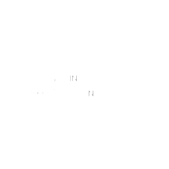 C[C@H](Nc1c(CC(=O)O)c2ccccc2n1Cc1ccccc1)c1ccccc1